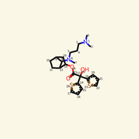 CN(C)CCCN(C)C1C2CCC1C(OC(=O)C(O)(c1cccs1)c1cccs1)C2